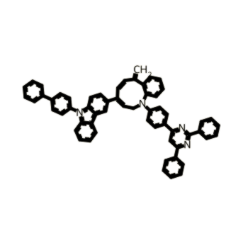 C=C1/C=C\C(c2ccc3c(c2)c2ccccc2n3-c2ccc(-c3ccccc3)cc2)=C/CN(c2ccc(-c3cc(-c4ccccc4)nc(-c4ccccc4)n3)cc2)c2ccccc21